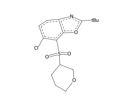 CC(C)(C)c1nc2ccc(Cl)c(S(=O)(=O)C3CCCOC3)c2o1